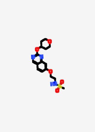 CS(=O)(=O)NCCOc1ccc2cnc(OC3CCOCC3)nc2c1